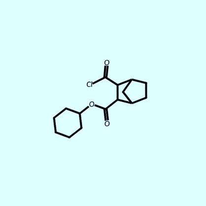 O=C(Cl)C1C2CCC(C2)C1C(=O)OC1CCCCC1